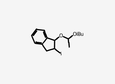 CC(C)COC(C)OC1c2ccccc2CC1I